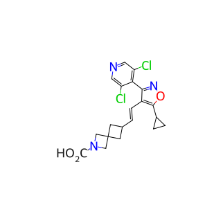 O=C(O)N1CC2(CC(C=Cc3c(-c4c(Cl)cncc4Cl)noc3C3CC3)C2)C1